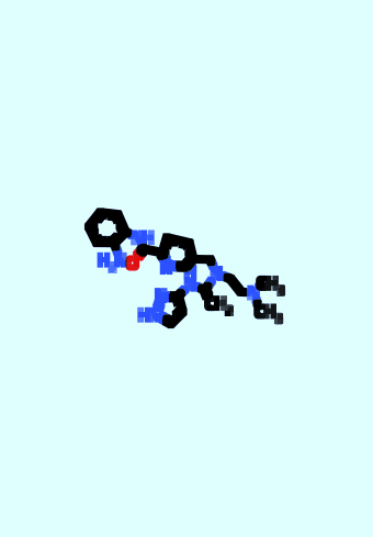 C=C(Nc1cc[nH]n1)N(CCN(C)C)Cc1ccc(C(=O)Nc2ccccc2N)nc1